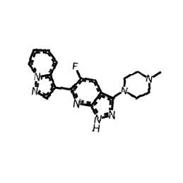 CN1CCN(c2n[nH]c3nc(-c4cnn5ccccc45)c(F)cc23)CC1